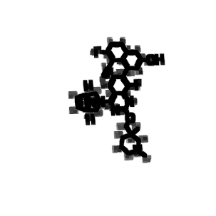 C#Cc1c(F)ccc2cc(O)cc(-c3c(F)cc4c(N5C[C@H]6CC[C@@H](C5)N6)nc(OCC5(C)CCCN(C)C5)nc4c3F)c12